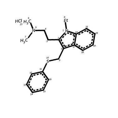 CCn1c(CCN(C)C)c(CSc2ccccc2)c2ccccc21.Cl